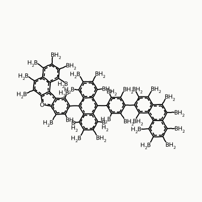 Bc1c(B)c(-c2c3c(B)c(B)c(B)c(B)c3c(-c3c(B)c(B)c4oc5c(B)c(B)c6c(B)c(B)c(B)c(B)c6c5c4c3B)c3c(B)c(B)c(B)c(B)c23)c(B)c(B)c1-c1c(B)c(B)c2c(B)c(B)c3c(B)c(B)c(B)c(B)c3c2c1B